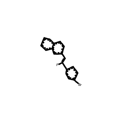 FC(=Cc1ccc2ccccc2c1)c1ccc(Br)cc1